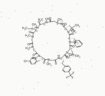 CC[C@H](C)[C@@H]1NC(=O)[C@H](C)N(C)C(=O)C[C@@H](C)NC(=O)[C@H](CC(C)C)N(C)C(=O)[C@H](Cc2ccccc2)N(C)C(=O)[C@H](CC(C)C)N(C)C(=O)[C@H](CCc2ccc(C(F)(F)F)cc2)NC(=O)CN(C)C(=O)[C@H](Cc2ccc(Cl)cc2)N(C)C(=O)CN(C)C(=O)CN(C)C1=O